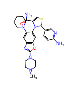 CN1CCN(c2nc3cc(N4CCCCC4)c(N4C(C(N)=O)=CSC4c4ccc(N)nc4)cc3o2)CC1